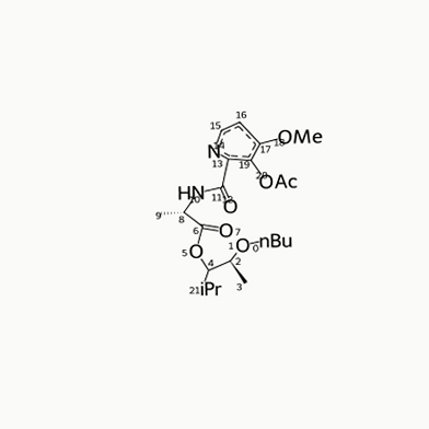 CCCCO[C@@H](C)C(OC(=O)[C@H](C)NC(=O)c1nccc(OC)c1OC(C)=O)C(C)C